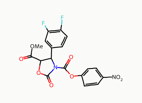 COC(=O)C1OC(=O)N(C(=O)Oc2ccc([N+](=O)[O-])cc2)C1c1ccc(F)c(F)c1